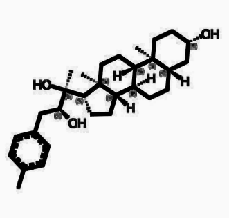 Cc1ccc(C[C@H](O)[C@@](C)(O)[C@H]2CC[C@H]3[C@@H]4CC[C@H]5C[C@@H](O)CC[C@]5(C)[C@H]4CC[C@]23C)cc1